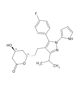 CC(C)c1nn(-c2ccc[nH]2)c(-c2ccc(F)cc2)c1CC[C@H]1C[C@H](O)CC(=O)O1